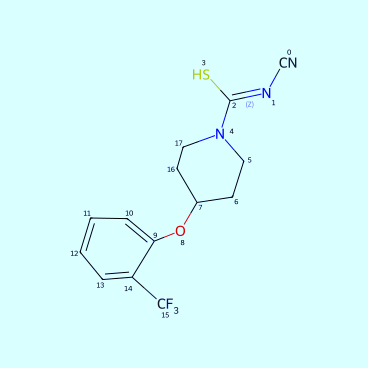 N#C/N=C(\S)N1CCC(Oc2ccccc2C(F)(F)F)CC1